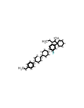 CCCC(C)C1(c2ccc([C@H]3CC[C@H]([C@H]4CC[C@H](c5ccc(CC)cc5)CC4)CC3)c(F)c2)CCCCC1